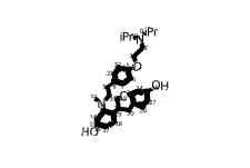 CC(C)N(CCOc1ccc(CCN(C)c2cc(O)ccc2C2CCc3cc(O)ccc3C2)cc1)C(C)C